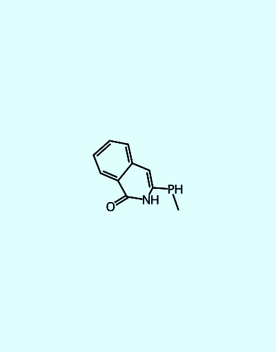 CPc1cc2ccccc2c(=O)[nH]1